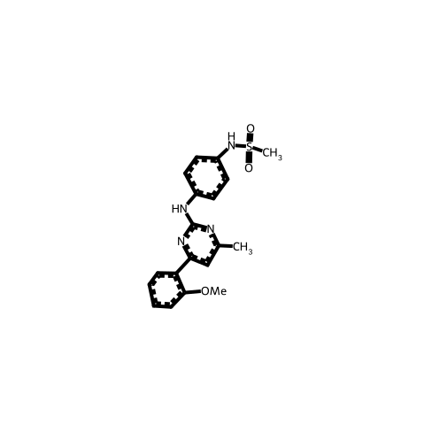 COc1ccccc1-c1cc(C)nc(Nc2ccc(NS(C)(=O)=O)cc2)n1